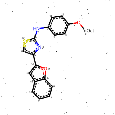 CCCCCCCCOc1ccc(Nc2nc(-c3cc4ccccc4o3)cs2)cc1